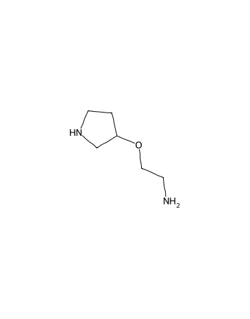 NCCOC1CCNC1